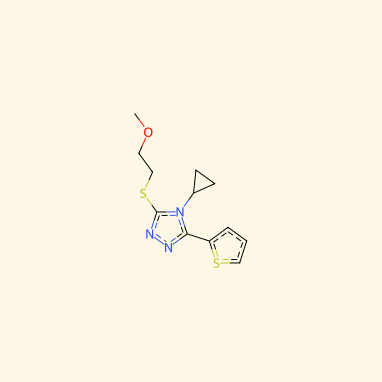 COCCSc1nnc(-c2cccs2)n1C1CC1